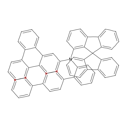 c1ccc(-c2ccc(-c3ccccc3N(c3ccc4c5ccccc5c5ccccc5c4c3)c3cccc4c3C3(c5ccccc5-c5ccccc53)c3ccccc3-4)cc2)cc1